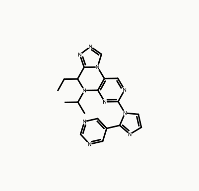 CCC1c2nncn2-c2cnc(-n3ccnc3-c3cncnc3)nc2N1C(C)C